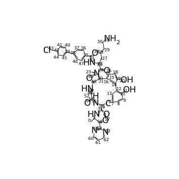 CC(NC(=O)[C@@H]1Cc2ccc(O)c(c2)-c2cc(ccc2O)[C@H](N(C)C(=O)[C@H](CCCCN)NC(=O)c2ccc(-c3ccc(Cl)cc3)cc2)C(=O)N[C@@H](C)C(=O)N1)C(=O)c1ncccn1